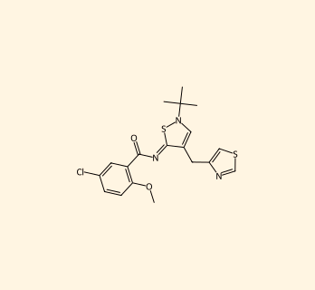 COc1ccc(Cl)cc1C(=O)N=c1sn(C(C)(C)C)cc1Cc1cscn1